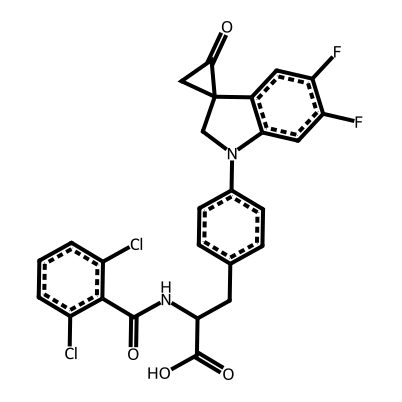 O=C(NC(Cc1ccc(N2CC3(CC3=O)c3cc(F)c(F)cc32)cc1)C(=O)O)c1c(Cl)cccc1Cl